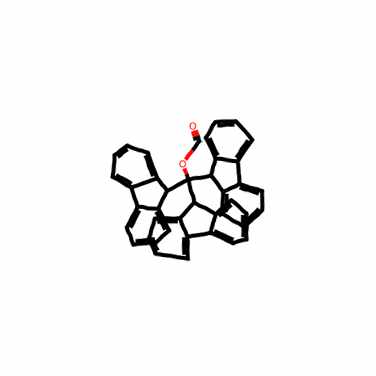 O=[C]OC(C1c2ccccc2-c2ccccc21)(C1c2ccccc2-c2ccccc21)C1c2ccccc2-c2ccccc21